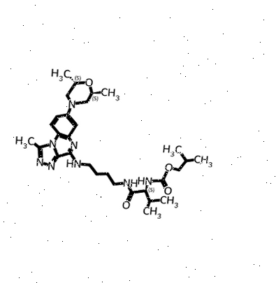 Cc1nnc2c(NCCCCNC(=O)[C@@H](NC(=O)OCC(C)C)C(C)C)nc3cc(N4C[C@H](C)O[C@@H](C)C4)ccc3n12